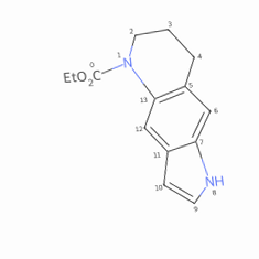 CCOC(=O)N1CCCc2cc3[nH]ccc3cc21